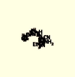 CCc1c(C)nn2c(N)c(C#N)c(NCCc3cccc(CO[C@@H]4CCOC4)n3)nc12